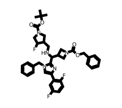 CC(C)(C)OC(=O)N1CC(F)C(CNC(c2nc(-c3cc(F)ccc3F)cn2Cc2ccccc2)C2CN(C(=O)OCc3ccccc3)C2)C1